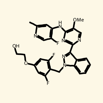 COc1cnc(-c2nn(Cc3c(F)cc(OCCO)cc3F)c3ccccc23)nc1Nc1cc(C)ncc1F